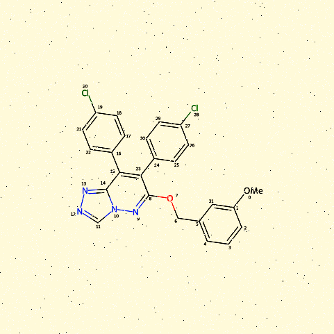 COc1cccc(COc2nn3cnnc3c(-c3ccc(Cl)cc3)c2-c2ccc(Cl)cc2)c1